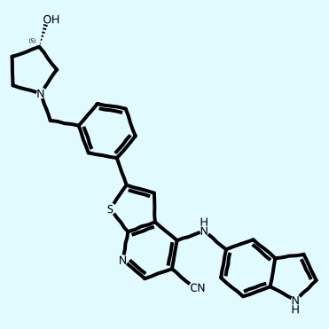 N#Cc1cnc2sc(-c3cccc(CN4CC[C@H](O)C4)c3)cc2c1Nc1ccc2[nH]ccc2c1